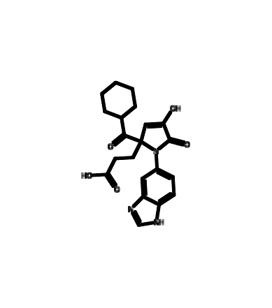 O=C(O)CCC1(C(=O)C2CCCCC2)C=C(O)C(=O)N1c1ccc2[nH]cnc2c1